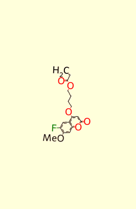 C=CC(=O)OCCCCOc1cc(=O)oc2cc(OC)c(F)cc12